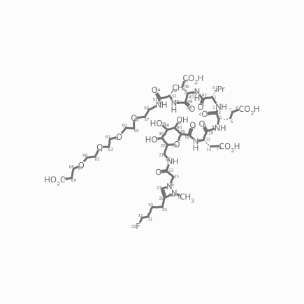 CC(C)[C@H](NC(=O)[C@H](CCC(=O)O)NC(=O)[C@H](CC(=O)O)NC(=O)C1OC(CNC(=O)Cn2cc(CCCCF)n2C)C(O)C(O)C1O)C(=O)N[C@@H](CC(=O)O)C(=O)N[C@@H](C)C(=O)NCCOCCOCCOCCOCCC(=O)O